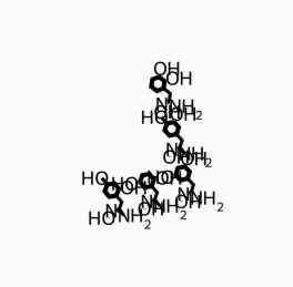 NC(Cc1cc(O)cc(O)c1)=NO.NC(Cc1cc(O)ccc1O)=NO.NC(Cc1ccc(O)c(O)c1)=NO.NC(Cc1ccc(O)cc1O)=NO.NC(Cc1cccc(O)c1O)=NO